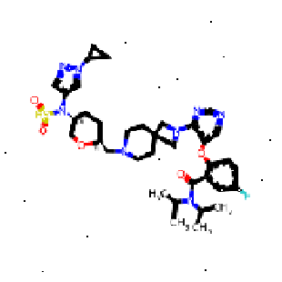 CC(C)N(C(=O)c1cc(F)ccc1Oc1cncnc1N1CC2(CCN(C[C@@H]3CC[C@@H](N(c4cnn(C5CC5)c4)[SH](=O)=O)CO3)CC2)C1)C(C)C